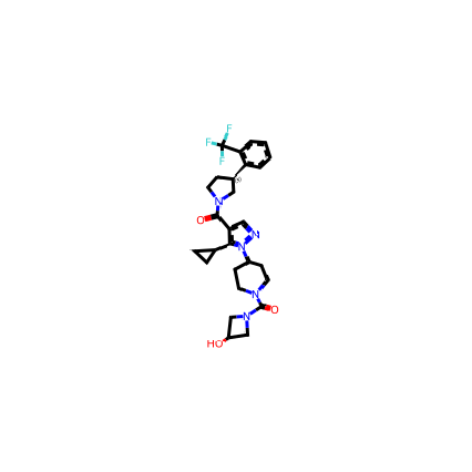 O=C(c1cnn(C2CCN(C(=O)N3CC(O)C3)CC2)c1C1CC1)N1CC[C@@H](c2ccccc2C(F)(F)F)C1